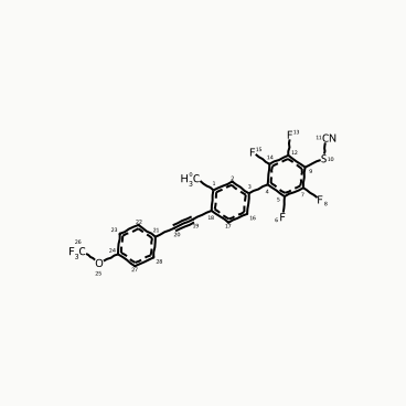 Cc1cc(-c2c(F)c(F)c(SC#N)c(F)c2F)ccc1C#Cc1ccc(OC(F)(F)F)cc1